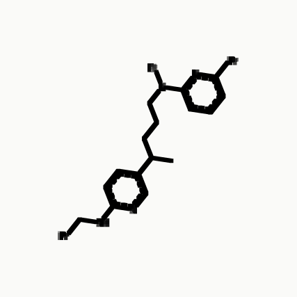 CCN(CCCC(C)c1ccc(NCC(C)C)nc1)c1cccc(C(C)C)n1